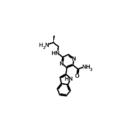 C[C@H](N)CNc1cnc(C(N)=O)c(-c2cc3ccccc3[nH]2)n1